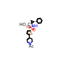 CC(=O)N1CC=C(c2ccc(S(=O)(=O)N[C@@]3(C(=O)O)C[C@@H]3c3ccccc3)s2)CC1